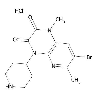 Cc1nc2c(cc1Br)n(C)c(=O)c(=O)n2C1CCNCC1.Cl